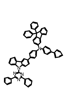 c1ccc(-c2ccc(N(c3ccc(-c4ccc5c(c4)c4ccccc4n5-c4nc(-c5ccccc5)nc(-c5ccccc5)n4)cc3)c3ccc4c(c3)-c3ccccc3C4(c3ccccc3)c3ccccc3)cc2)cc1